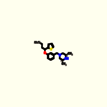 CNCCC(Oc1cccc(CN2C[C@@H](C)N[C@@H](C)C2)c1)c1cccs1